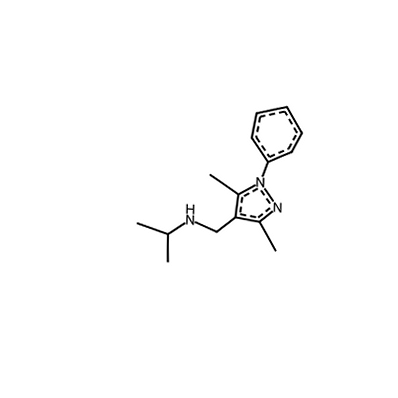 Cc1nn(-c2ccccc2)c(C)c1CNC(C)C